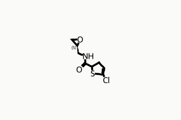 O=C(NC[C@H]1CO1)C1CC=C(Cl)S1